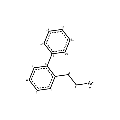 CC(=O)CCc1ccccc1-c1ccccc1